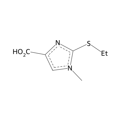 CCSc1nc(C(=O)O)cn1C